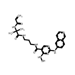 C=CC(=O)NC(C)(C)C(=O)NCCCNC(=O)c1cnc(Nc2ccc3cnccc3c2)nc1NCCC